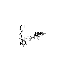 CCCCCCC1=NCCN1CCNCCC(=O)NO